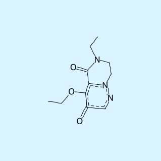 CCOc1c2n(ncc1=O)CCN(CC)C2=O